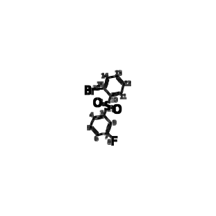 O=S(=O)(c1cccc(F)c1)c1ccccc1Br